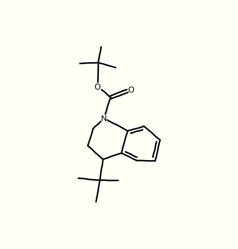 CC(C)(C)OC(=O)N1CCC(C(C)(C)C)c2ccccc21